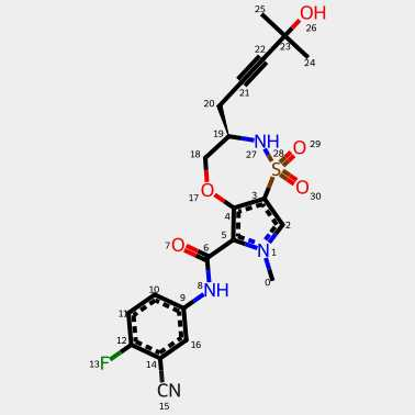 Cn1cc2c(c1C(=O)Nc1ccc(F)c(C#N)c1)OC[C@@H](CC#CC(C)(C)O)NS2(=O)=O